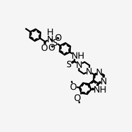 COc1cc2[nH]c3ncnc(N4CCN(C(=S)Nc5ccc(S(=O)(=O)NC(=O)c6ccc(C)cc6)cc5)CC4)c3c2cc1OC